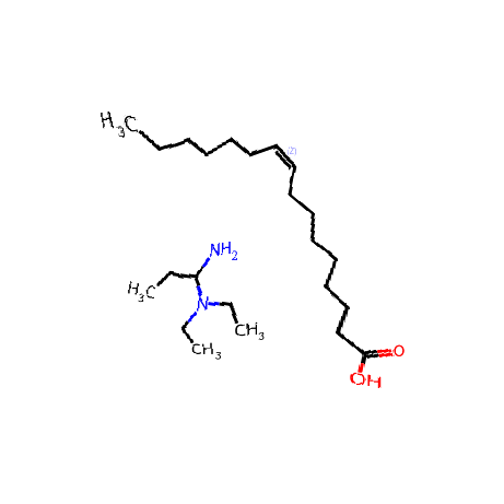 CCC(N)N(CC)CC.CCCCCC/C=C\CCCCCCCC(=O)O